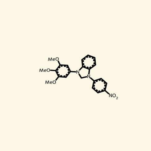 COc1cc(N2CN(c3ccc([N+](=O)[O-])cc3)c3ccccc32)cc(OC)c1OC